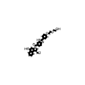 O=C(c1ccc2nc(-c3ccc(OCCOCCO)cc3)[nH]c2c1)N1C[C@@H](CCl)c2c1cc(O)c1ccccc21